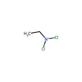 CC[N+](Cl)Cl